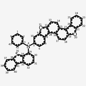 c1ccc(N(c2ccc3c(c2)oc2ccc4c(ccc5oc6ccccc6c54)c23)c2cccc3c2sc2ccccc23)cc1